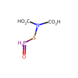 O=[PH2]SN(C(=O)O)C(=O)O